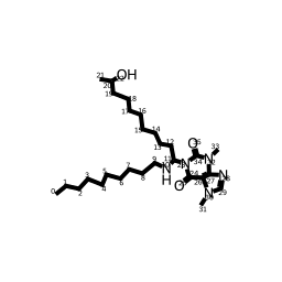 CCCCCCCCCCNC(CCCCCCCCC(C)O)n1c(=O)c2c(ncn2C)n(C)c1=O